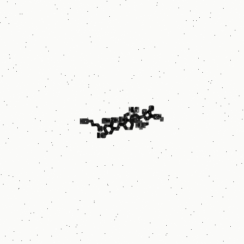 C=C1/C(=C\C=C2/CCC[C@]3(C)[C@@H]([C@H](C)C[C@H]4OC(=O)C(=C)[C@@H]4CC)CC[C@@H]23)C[C@@H](O)[C@H](OCCCO)[C@@H]1O